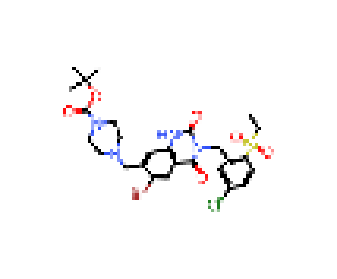 CCS(=O)(=O)c1ccc(Cl)cc1Cn1c(=O)[nH]c2cc(CN3CCN(C(=O)OC(C)(C)C)CC3)c(Br)cc2c1=O